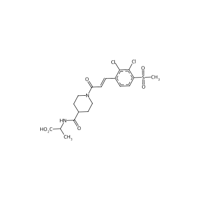 CC(NC(=O)C1CCN(C(=O)C=Cc2ccc(S(C)(=O)=O)c(Cl)c2Cl)CC1)C(=O)O